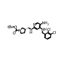 CC(C)(C)OC(=O)N1CC[C@@H](CNc2cc(NCc3cccc(Cl)c3Cl)c(N)cn2)C1